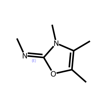 C/N=c1/oc(C)c(C)n1C